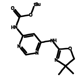 CC1(C)COC(Nc2cc(NC(=O)OC(C)(C)C)ncn2)=N1